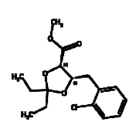 CCC1(CC)O[C@@H](Cc2ccccc2Cl)[C@H](C(=O)OC)O1